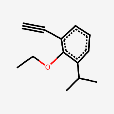 C#Cc1cccc([C](C)C)c1OCC